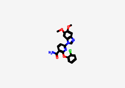 COc1cc2ncn(-c3ccc(C(N)=O)c(Oc4ccccc4Cl)n3)c2cc1OC